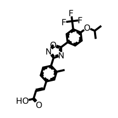 Cc1cc(C=CC(=O)O)ccc1-c1noc(-c2ccc(OC(C)C)c(C(F)(F)F)c2)n1